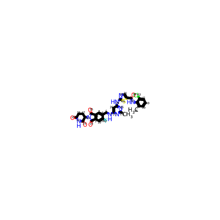 Cc1nc(NCc2cc3c(cc2F)C(=O)N(C2CCC(=O)NC2=O)C3=O)cc(Nc2ncc(C(=O)Nc3c(C)cccc3Cl)s2)n1